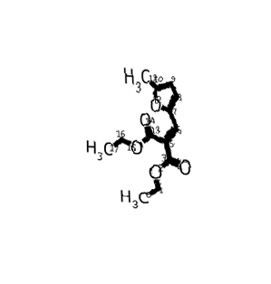 CCOC(=O)C(=Cc1ccc(C)o1)C(=O)OCC